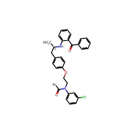 CCC(=O)N(CCOc1ccc(C[C@H](Nc2ccccc2C(=O)c2ccccc2)C(=O)O)cc1)c1cccc(Cl)c1